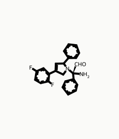 N[C@](C=O)(c1ccccc1)N1CC(c2cc(F)ccc2F)=CC1c1ccccc1